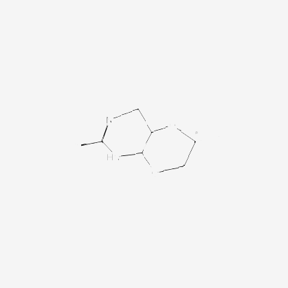 CC(C)C1NCC2O[C@H](C)COC2N1